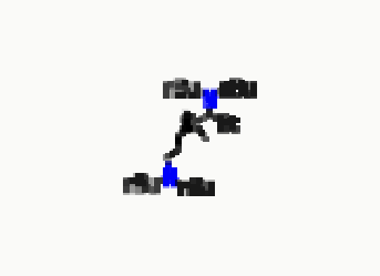 [CH2]CC(N(CCCC)CCCC)[Si](C)(C)CCCN(CCCC)CCCC